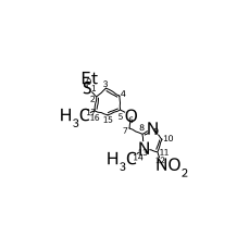 CCSc1ccc(OCc2ncc([N+](=O)[O-])n2C)cc1C